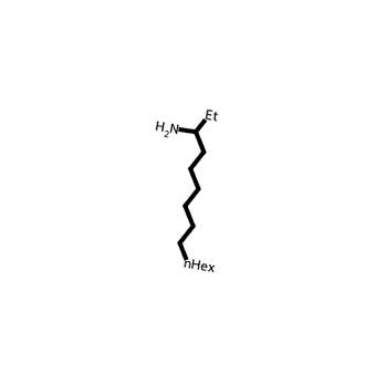 CCCCCCCCCCCCC(N)CC